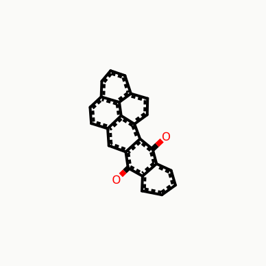 O=c1c2ccccc2c(=O)c2c1cc1ccc3cccc4ccc2c1c34